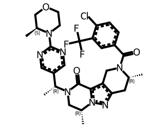 C[C@@H]1Cc2nn3c(c2CN1C(=O)c1ccc(Cl)c(C(F)(F)F)c1)C(=O)N([C@H](C)c1cnc(N2CCOC[C@@H]2C)nc1)C[C@H]3C